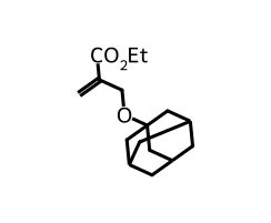 C=C(COC12CC3CC(CC(C3)C1)C2)C(=O)OCC